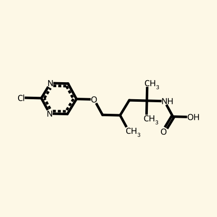 CC(COc1cnc(Cl)nc1)CC(C)(C)NC(=O)O